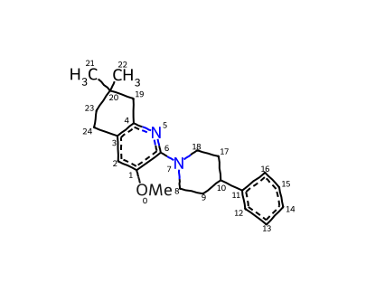 COc1cc2c(nc1N1CCC(c3ccccc3)CC1)CC(C)(C)CC2